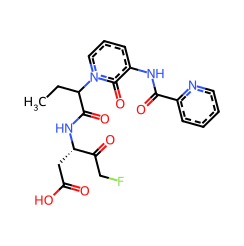 CCC(C(=O)N[C@@H](CC(=O)O)C(=O)CF)n1cccc(NC(=O)c2ccccn2)c1=O